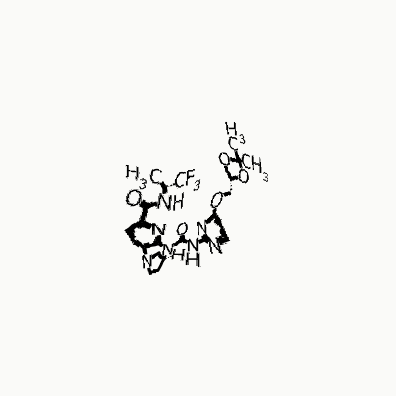 C[C@@H](NC(=O)c1ccc2c(n1)N(C(=O)Nc1nccc(OC[C@@H]3COC(C)(C)O3)n1)[C@H]1CCN2C1)C(F)(F)F